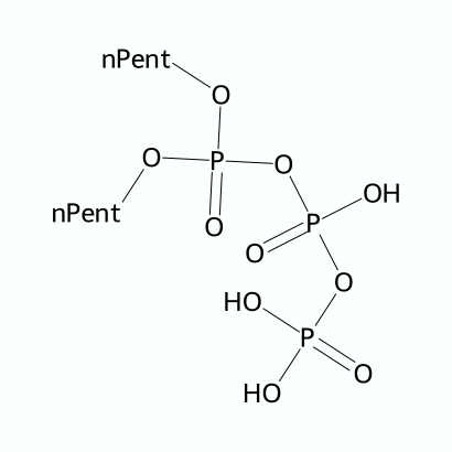 CCCCCOP(=O)(OCCCCC)OP(=O)(O)OP(=O)(O)O